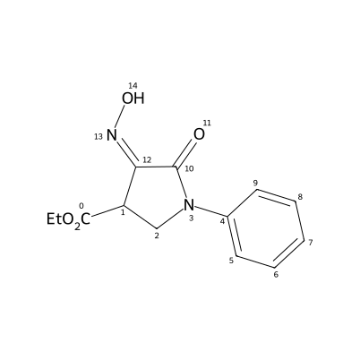 CCOC(=O)C1CN(c2ccccc2)C(=O)C1=NO